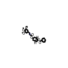 COc1cc(/C=C/C(=O)O[C@H]2C[C@H]3C[C@H](OC(=O)c4ccccc4)[C@@H](C2)N3C)cc(OC)c1OC